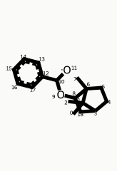 CC1(C)C2CCC1(C)C(OC([O])c1ccccc1)C2